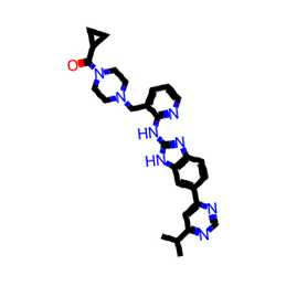 CC(C)c1cc(-c2ccc3nc(Nc4ncccc4CN4CCN(C(=O)C5CC5)CC4)[nH]c3c2)ncn1